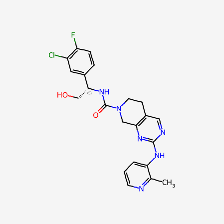 Cc1ncccc1Nc1ncc2c(n1)CN(C(=O)N[C@H](CO)c1ccc(F)c(Cl)c1)CC2